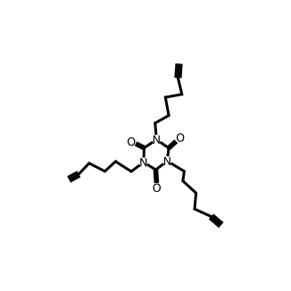 C#CCCCCn1c(=O)n(CCCCC#C)c(=O)n(CCCCC#C)c1=O